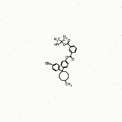 CCCC(C)(C)OC(=O)c1cccc(C(=O)Oc2ccc(C3(c4ccc(C(C)(C)C)cc4)CCCC(C)CCC3)cc2)c1